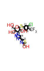 OC[C@H]1O[C@H](Sc2ccc(C(F)(F)F)c(Cl)c2)[C@H](O)[C@@H](n2cc(-c3csc(O)n3)nn2)[C@H]1O